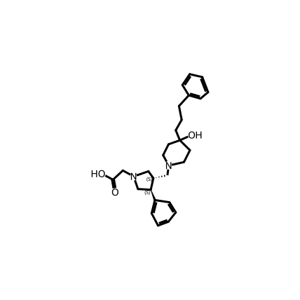 O=C(O)CN1C[C@H](CN2CCC(O)(CCCc3ccccc3)CC2)[C@@H](c2ccccc2)C1